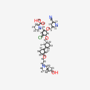 Cc1c(COc2cc(OCc3cncc(C#N)c3)c(CN3CCCC[C@H]3C(=O)O)cc2Cl)cccc1-c1cccc(OCCCN2CCCC3(CCC(O)C3)C2)c1C